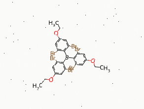 CCOc1cc(Br)c(B(c2c(Br)cc(OCC)cc2Br)c2c(Br)cc(OCC)cc2Br)c(Br)c1